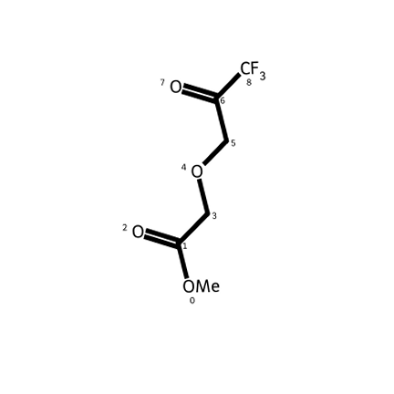 COC(=O)COCC(=O)C(F)(F)F